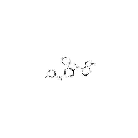 Cc1cccc(Nc2ccc3c(c2)C2(CCNCC2)CN3c2ncnc3[nH]ccc23)c1